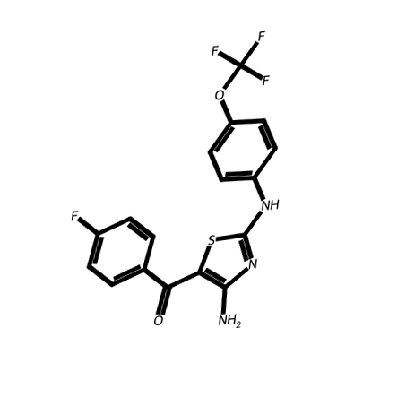 Nc1nc(Nc2ccc(OC(F)(F)F)cc2)sc1C(=O)c1ccc(F)cc1